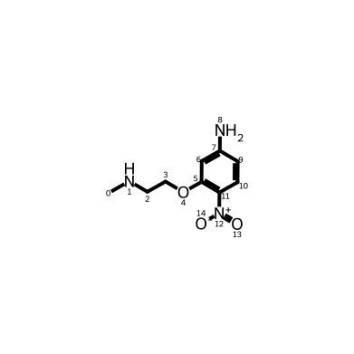 CNCCOc1cc(N)ccc1[N+](=O)[O-]